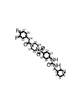 O=C(NCc1cccnc1)Nc1ccc(S(=O)(=O)N2CCN(C(=O)Cc3ccc(F)c(F)c3)CC2)cc1